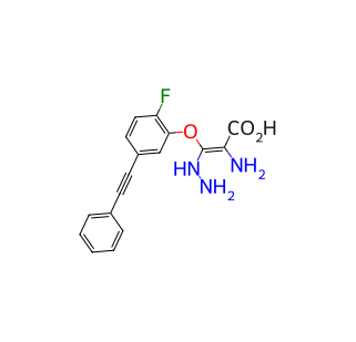 NN/C(Oc1cc(C#Cc2ccccc2)ccc1F)=C(\N)C(=O)O